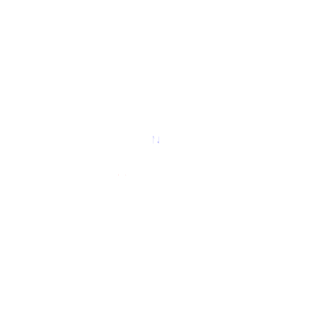 c1ccc2c3ccocc-3nc2c1